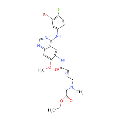 CCOC(=O)CN(C)C/C=C/C(=O)Nc1cc2c(Nc3ccc(F)c(Br)c3)ncnc2cc1OC